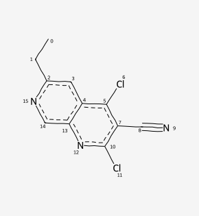 CCc1cc2c(Cl)c(C#N)c(Cl)nc2cn1